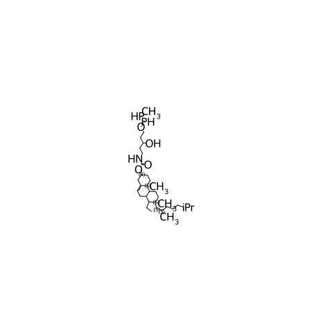 CPPOCCC(O)CCNC(=O)O[C@@H]1CC[C@]2(C)C(=CCC3C2CC[C@]2(C)C3CC[C@H]2[C@@H](C)CCCC(C)C)C1